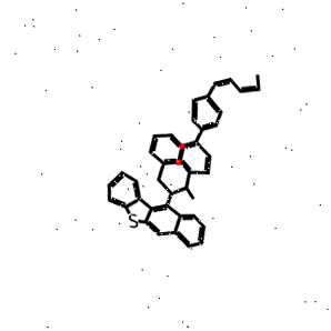 C/C=C\C=C/c1ccc(-c2ccc(C(C)C(Cc3ccccc3)c3c4ccccc4cc4sc5ccccc5c34)cc2)cc1